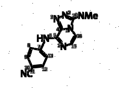 CNc1nnc2c(Nc3ccc(C#N)cc3)nccn12